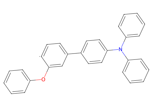 [c]1ccc(-c2ccc(N(c3ccccc3)c3ccccc3)cc2)cc1Oc1ccccc1